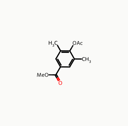 COC(=O)c1cc(C)c(OC(C)=O)c(C)c1